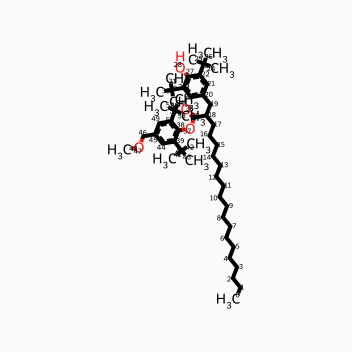 CCCCCCCCCCCCCCCCCCC(Cc1cc(C(C)(C)C)c(O)c(C(C)(C)C)c1)C(=O)Oc1c(C(C)(C)C)cc(COC)cc1C(C)(C)C